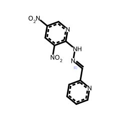 O=[N+]([O-])c1cnc(N/N=C/c2ccccn2)c([N+](=O)[O-])c1